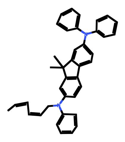 C/C=C\C=C/CN(c1ccccc1)c1ccc2c(c1)C(C)(C)c1cc(N(c3ccccc3)c3ccccc3)ccc1-2